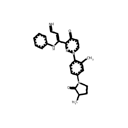 Cc1cc(N2CCC(C)C2=O)ccc1-n1ccc(=O)c(/C(=C/C=N)Nc2ccccc2)n1